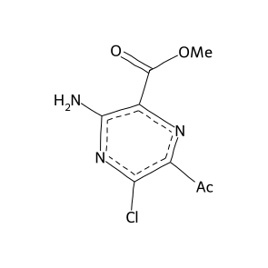 COC(=O)c1nc(C(C)=O)c(Cl)nc1N